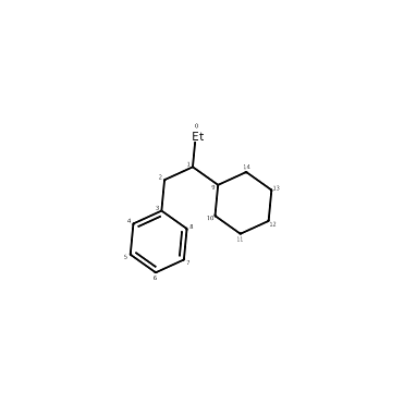 CCC(Cc1ccccc1)C1CCCCC1